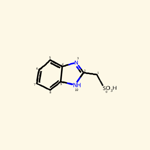 O=S(=O)(O)Cc1nc2ccccc2[nH]1